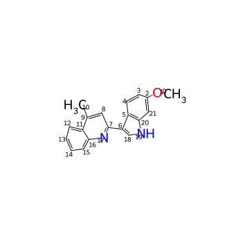 COc1ccc2c(-c3cc(C)c4ccccc4n3)c[nH]c2c1